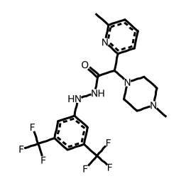 Cc1cccc(C(C(=O)NNc2cc(C(F)(F)F)cc(C(F)(F)F)c2)N2CCN(C)CC2)n1